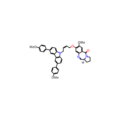 COc1ccc(-c2ccc3c(c2)c2cc(-c4ccc(OC)cc4)ccc2n3C/C=C\COc2cc3c(cc2OC)C(=O)N2CCC[C@H]2C=N3)cc1